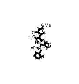 CCCN(Cc1ccccc1F)c1c2c(nc3c(-c4ccc(OC)cc4Cl)c(C)nn13)COC2